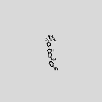 CC(C)c1cccc(Nc2cc3[nH]c(-c4ccc(C(=O)N(C)C)cc4)cc3cn2)c1